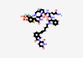 CN1CC[C@H]2CC[C@@H](C(=O)N[C@@H](CCC(N)=O)C(=O)N[C@H](C(=O)NCCCCC#Cc3cccc4c3CN(C3CCC(=O)NC3=O)C4=O)c3ccccc3)N2C(=O)[C@@H](NC(=O)c2cc3cc(C(F)(F)P(=O)(O)O)ccc3s2)C1